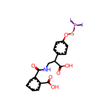 O=C(O)c1ccccc1C(=O)NCC(C(=O)O)c1ccc(OSP(I)I)cc1